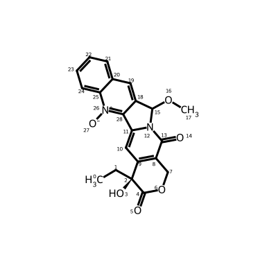 CC[C@@]1(O)C(=O)OCc2c1cc1n(c2=O)C(OC)c2cc3ccccc3[n+]([O-])c2-1